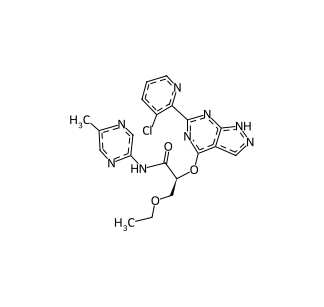 CCOC[C@H](Oc1nc(-c2ncccc2Cl)nc2[nH]ncc12)C(=O)Nc1cnc(C)cn1